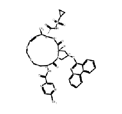 Cc1cnc(C(=O)N[C@H]2CCCCC/C=C\C(C)[C@H](C(=O)NS(=O)(=O)C3CC3)NC(=O)[C@@H]3C[C@@H](Oc4nc5ccccc5c5ccccc45)CN3C2=O)cn1